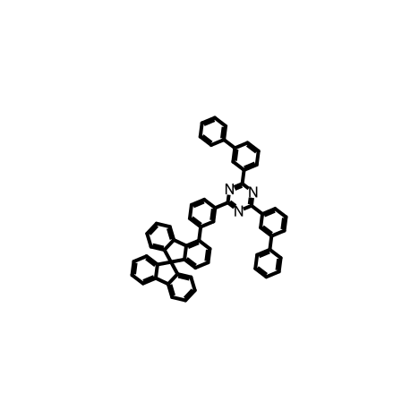 c1ccc(-c2cccc(-c3nc(-c4cccc(-c5ccccc5)c4)nc(-c4cccc(-c5cccc6c5-c5ccccc5C65c6ccccc6-c6ccccc65)c4)n3)c2)cc1